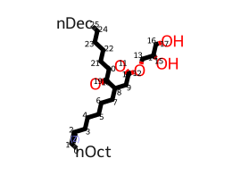 CCCCCCCC/C=C\CCCCCC(CC(=O)OCC(O)CO)C(=O)CCCCCCCCCCCCCCC